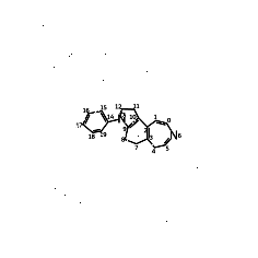 C1=CC2=C(CC=N1)CCC1=C2CCN1c1ccccc1